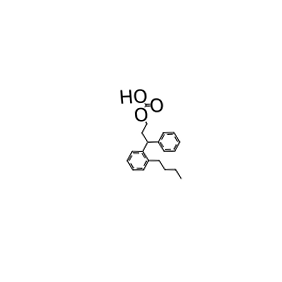 CCCCc1ccccc1C(CCOC(=O)O)c1ccccc1